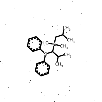 CC(C)C[Si](C)(C)C(C(C)C)[Si](c1ccccc1)c1ccccc1